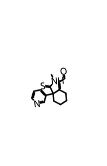 CNC(=S)C1(c2cccnc2)CCCCC1=CC=O